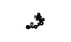 O=C1CCC(N2Cc3c(SCc4ccc(CNC56CC7CC(CC5C7)C6)cc4)cccc3C2=O)C(=O)N1